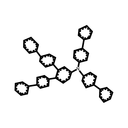 c1ccc(-c2ccc(-c3ccc(N(c4ccc(-c5ccccc5)cc4)c4ccc(-c5ccccc5)cc4)cc3-c3ccc(-c4ccccc4)cc3)cc2)cc1